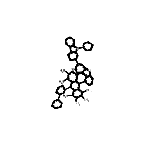 Bc1c(B)c(B)c2c(-c3cccc4oc5cc(-c6ccc7c8ccccc8n(-c8ccccc8)c7c6)ccc5c34)c3c(B)c(B)c(B)c(B)c3c(-c3cccc(-c4ccccc4)c3)c2c1B